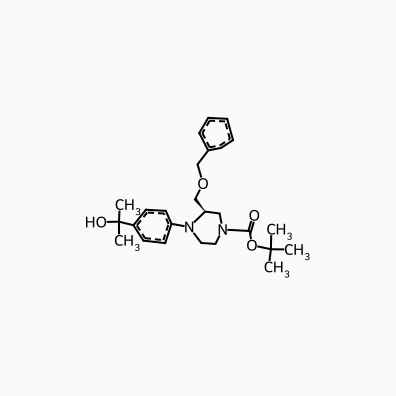 CC(C)(C)OC(=O)N1CCN(c2ccc(C(C)(C)O)cc2)[C@@H](COCc2ccccc2)C1